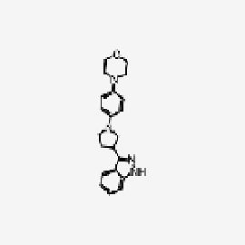 c1ccc2c(C3CCN(c4ccc(N5CCOCC5)cc4)C3)n[nH]c2c1